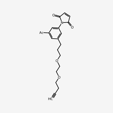 C#CCCOCCOCCCc1cc(C(C)=O)cc(N2C(=O)C=CC2=O)c1